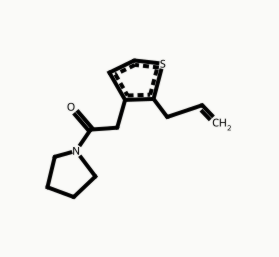 C=CCc1sccc1CC(=O)N1CCCC1